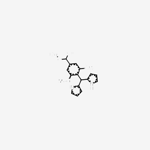 COc1cc(C(O)OC(C)(C)C)cc(OC)c1C(c1ccc[nH]1)c1ccc[nH]1